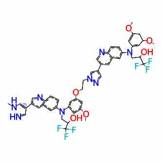 CN/C=C(\C=N)c1cnc2ccc(N(CC(O)C(F)(F)F)c3cc(OC)cc(OCCn4cc(-c5cnc6ccc(N(CC(O)C(F)(F)F)C7=CC(OC)CC(OC)=C7)cc6c5)cn4)c3)cc2c1